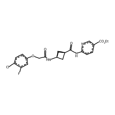 CCOC(=O)c1ccc(NC(=O)C23CC(NC(=O)COc4ccc(Cl)c(F)c4)(C2)C3)nc1